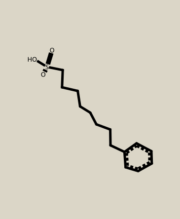 O=S(=O)(O)CCCCCCCCc1ccccc1